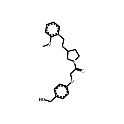 COc1ccccc1CCC1CCN(C(=O)COc2ccc(CO)cc2)C1